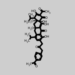 CC(=O)C1=C(O)C(C(C)C)[C@@]2(C)C[C@@]3(C)Cc4c(C(C)C)cc(CC(=O)Cc5ccc(C(C)=O)cc5)c(O)c4C(=O)C3=C(O)[C@@]2(O)C1=O